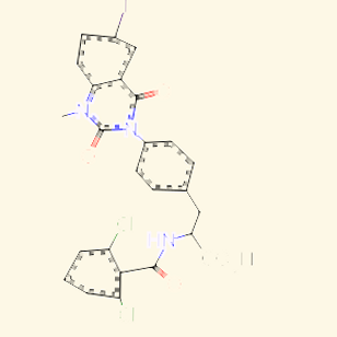 Cn1c(=O)n(-c2ccc(CC(NC(=O)c3c(Cl)cccc3Cl)C(=O)O)cc2)c(=O)c2cc(I)ccc21